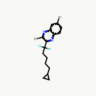 CCc1ccc2nc(C(F)(F)CCCCC3CC3)c(CC)nc2c1